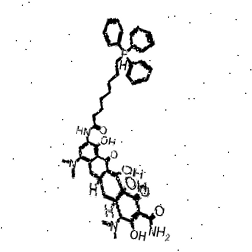 CN(C)c1cc(NC(=O)CCCCCCC[PH](c2ccccc2)(c2ccccc2)c2ccccc2)c(O)c2c1C[C@H]1C[C@H]3[C@H](N(C)C)C(O)=C(C(N)=O)C(=O)[C@@]3(O)C(O)=C1C2=O